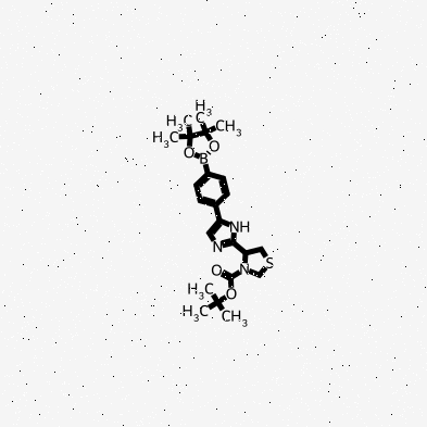 CC(C)(C)OC(=O)N1CSCC1c1ncc(-c2ccc(B3OC(C)(C)C(C)(C)O3)cc2)[nH]1